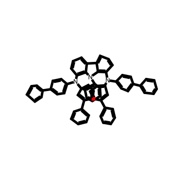 c1ccc(-c2ccc(N(c3cccc(-c4ccccc4)c3)c3cccc4c5cccc(N(c6ccc(-c7ccccc7)cc6)c6cccc(-c7ccccc7)c6)c5n(-c5ccccc5)c34)cc2)cc1